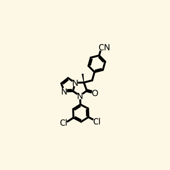 C[C@@]1(Cc2ccc(C#N)cc2)C(=O)N(c2cc(Cl)cc(Cl)c2)c2nccn21